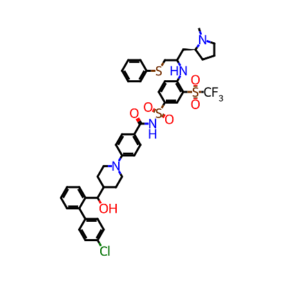 CN1CCC[C@H]1CC(CSc1ccccc1)Nc1ccc(S(=O)(=O)NC(=O)c2ccc(N3CCC(C(O)c4ccccc4-c4ccc(Cl)cc4)CC3)cc2)cc1S(=O)(=O)C(F)(F)F